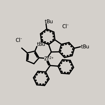 CC1=CC[C]([Zr+2](=[C](c2ccccc2)c2ccccc2)[CH]2c3ccc(C(C)(C)C)cc3-c3cc(C(C)(C)C)ccc32)=C1C(C)(C)C.[Cl-].[Cl-]